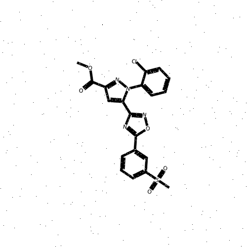 COC(=O)c1cc(-c2noc(-c3cccc(S(C)(=O)=O)c3)n2)n(-c2ccccc2Cl)n1